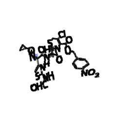 O=CNc1nc(/C(=N/OC2CC2)C(=O)N[C@@H]2C(=O)N3C(C(=O)OCc4ccc([N+](=O)[O-])cc4)=C(Cl)CS[C@H]23)cs1